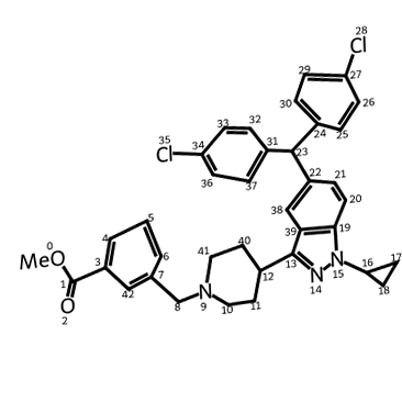 COC(=O)c1cccc(CN2CCC(c3nn(C4CC4)c4ccc(C(c5ccc(Cl)cc5)c5ccc(Cl)cc5)cc34)CC2)c1